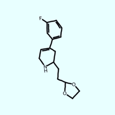 Fc1cccc(C2=CCNC(CCC3OCCO3)C2)c1